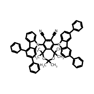 CC1(C)OC(C)(C)c2c(-n3c4ccc(-c5ccccc5)cc4c4cc(-c5ccccc5)ccc43)c(C#N)c(C#N)c(-n3c4ccccc4c4c(-c5ccccc5)cc(-c5ccccc5)cc43)c2C(C)(C)O1